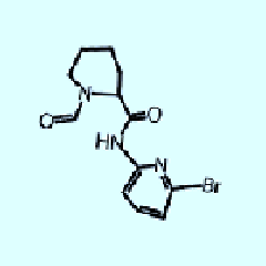 O=CN1CCCCC1C(=O)Nc1cccc(Br)n1